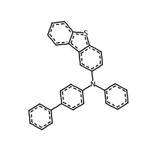 c1ccc(-c2ccc(N(c3ccccc3)c3ccc4sc5ccccc5c4c3)cc2)cc1